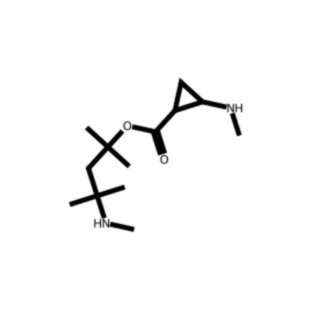 CNC1CC1C(=O)OC(C)(C)CC(C)(C)NC